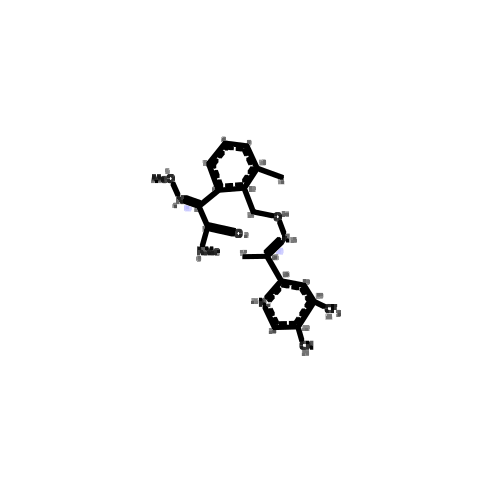 CNC(=O)/C(=N/OC)c1cccc(C)c1CO/N=C(\C)c1cc(C(F)(F)F)c(C#N)cn1